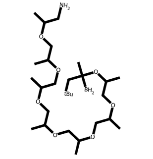 BC(C)(CC(C)(C)C)OC(C)COC(C)COC(C)COC(C)COC(C)COC(C)COC(C)CN